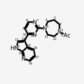 CC(=O)N1CCCN(c2nccc(-c3c[nH]c4ncccc34)n2)CC1